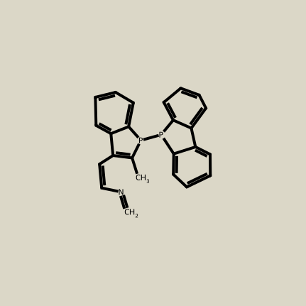 C=N/C=C\c1c(C)p(-p2c3ccccc3c3ccccc32)c2ccccc12